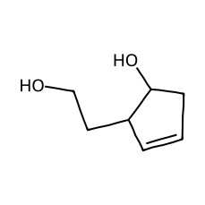 OCCC1C=CCC1O